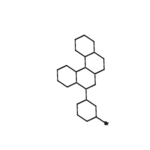 BrC1CCCC(C2CC3CCC4CCCCC4C3C3CCCCC23)C1